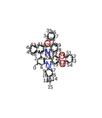 Cc1cc2c3c(c1)N(c1ccc(C(C)(C)C)cc1)c1cc4c(cc1B3N(c1cccc3c1oc1ccccc13)c1ccc3ccccc3c1-2)Oc1ccccc1O4